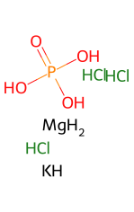 Cl.Cl.Cl.O=P(O)(O)O.[KH].[MgH2]